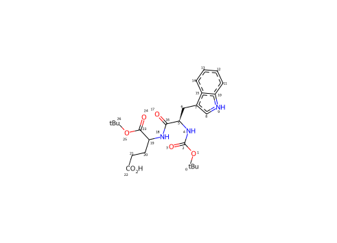 CC(C)(C)OC(=O)N[C@H](Cc1c[nH]c2ccccc12)C(=O)NC(CCC(=O)O)C(=O)OC(C)(C)C